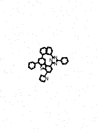 c1ccc(-c2cc(-c3ccccc3)c3sc4c(-c5ccccn5)ccc(-c5nc(-c6ccccc6)nc(-c6ccccc6)n5)c4c3c2)cc1